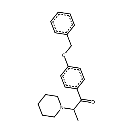 CC(C(=O)c1ccc(OCc2ccccc2)cc1)N1CCCCC1